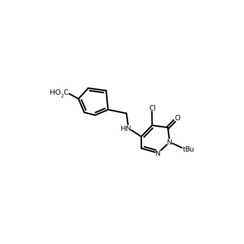 CC(C)(C)n1ncc(NCc2ccc(C(=O)O)cc2)c(Cl)c1=O